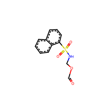 O=[C]OCNS(=O)(=O)c1cccc2ccccc12